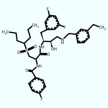 CCCC(CCC)S(=O)(=O)CC(NC(=O)c1ccc(F)cc1)C(=O)N[C@@H](Cc1cc(F)cc(F)c1)[C@H](O)CNCc1cccc(CC)c1